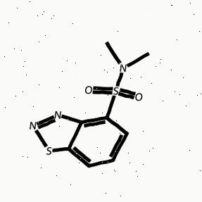 CN(C)S(=O)(=O)c1cccc2snnc12